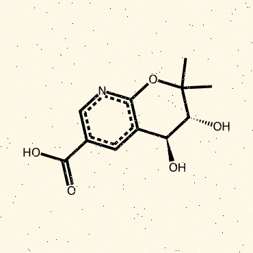 CC1(C)Oc2ncc(C(=O)O)cc2[C@H](O)[C@H]1O